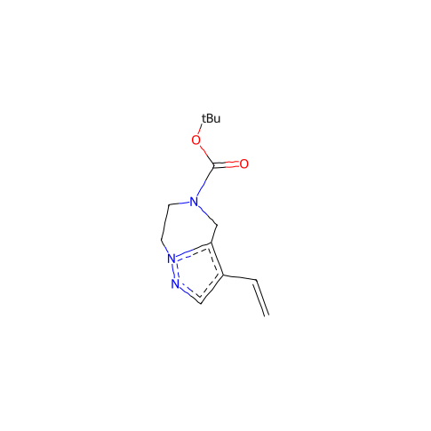 C=Cc1cnn2c1CN(C(=O)OC(C)(C)C)CC2